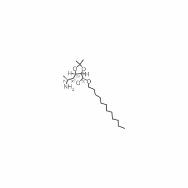 CCCCCCCCCCCCO[C@H]1O[C@H]([C@H](C)N)[C@@H]2OC(C)(C)O[C@H]12